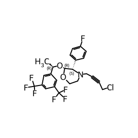 C[C@@H](O[C@H]1OCCN(CC#CCCl)[C@H]1c1ccc(F)cc1)c1cc(C(F)(F)F)cc(C(F)(F)F)c1